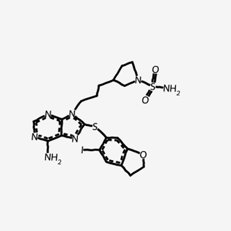 Nc1ncnc2c1nc(Sc1cc3c(cc1I)CCO3)n2CCCC1CCN(S(N)(=O)=O)C1